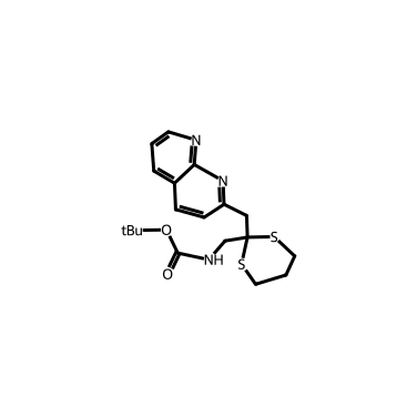 CC(C)(C)OC(=O)NCC1(Cc2ccc3cccnc3n2)SCCCS1